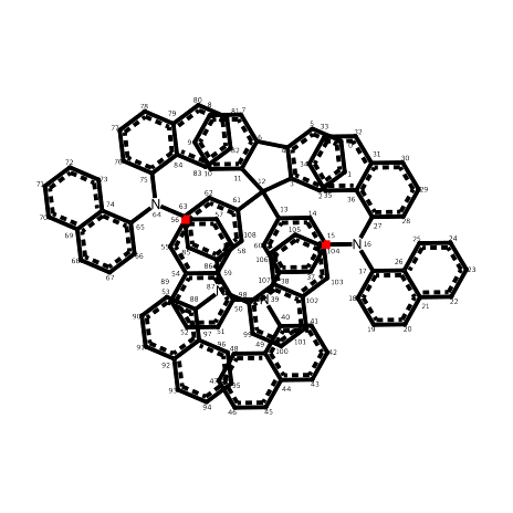 c1ccc2c(c1)-c1ccccc1C2(c1cc(N(c2cccc3ccccc23)c2cccc3ccccc23)cc(N(c2cccc3ccccc23)c2cccc3ccccc23)c1)c1cc(N(c2cccc3ccccc23)c2cccc3ccccc23)cc(N(c2cccc3ccccc23)c2cccc3ccccc23)c1